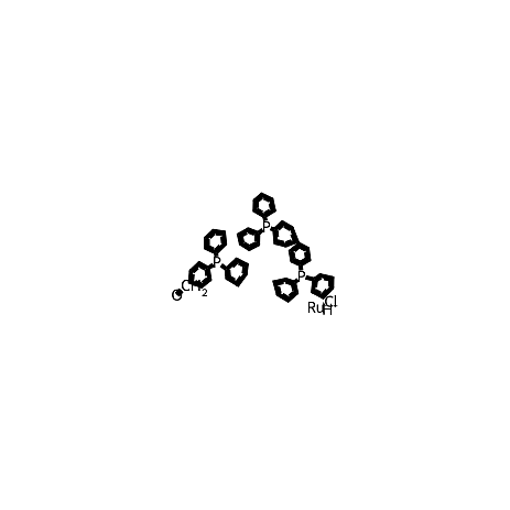 C=O.[Cl][Ru].[H-].c1ccc(P(c2ccccc2)c2ccccc2)cc1.c1ccc(P(c2ccccc2)c2ccccc2)cc1.c1ccc(P(c2ccccc2)c2ccccc2)cc1